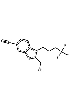 [C-]#[N+]c1ccc2c(c1)nc(CO)n2CCCC(F)(F)F